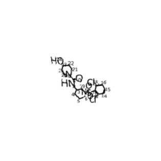 O=C(NC1CCCN(S(=O)(=O)c2c(Cl)cccc2Cl)C1)N1CCC(O)CC1